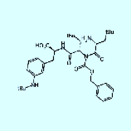 CC(C)(C)C[C@@H](N)C(=O)N(C(=O)OCc1ccccc1)[C@@H](CC(C)(C)C)C(=O)N[C@@H](Cc1cccc(NC(C)(C)C)c1)C(=O)O